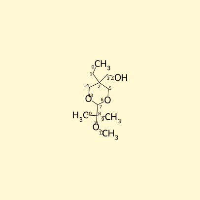 CCC1(CO)COC(C(C)(C)OC)OC1